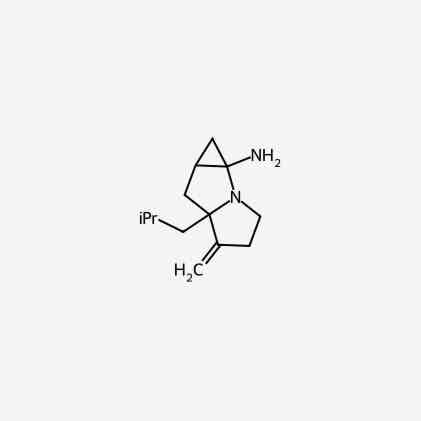 C=C1CCN2C1(CC(C)C)CC1CC12N